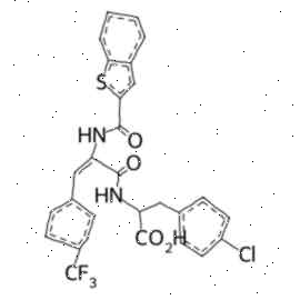 O=C(NC(Cc1ccc(Cl)cc1)C(=O)O)C(=Cc1ccc(C(F)(F)F)cc1)NC(=O)c1cc2ccccc2s1